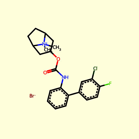 C[N+]1(C)C2CCC1CC(OC(=O)Nc1ccccc1-c1ccc(F)c(Cl)c1)C2.[Br-]